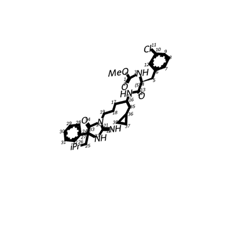 COC(=O)N[C@@H](Cc1cccc(Cl)c1)C(=O)NC(CCCN1C(=N)NC(CC(C)C)(c2ccccc2)C1=O)CC1CC1